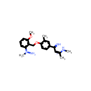 CN/C(C)=C\C(=N)c1ccc(OCc2c(OC)cccc2N(C)N)c(C)c1